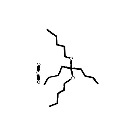 CCCCCOC(CCCC)(CCCC)OCCCCC.O=C=O